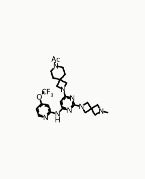 CC(=O)N1CCC2(CC1)CN(c1cc(Nc3cc(OC(F)(F)F)ccn3)nc(N3CC4(CN(C)C4)C3)n1)C2